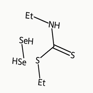 CCNC(=S)SCC.[SeH][SeH]